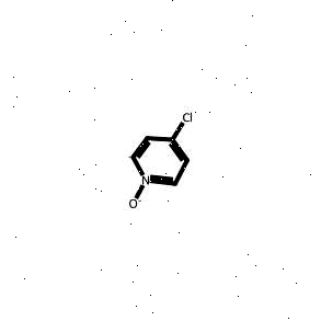 [O-][n+]1[c]cc(Cl)cc1